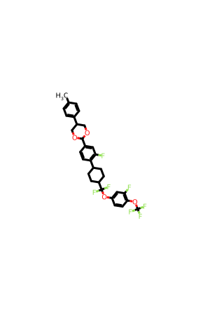 Cc1ccc(C2COC(c3ccc(C4CCC(C(F)(F)Oc5ccc(OC(F)(F)F)c(F)c5)CC4)c(F)c3)OC2)cc1